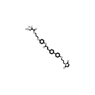 C=C(CO)C(=O)OCCCOc1ccc(OC(=O)/C=C/c2ccc(-c3ccc(OCCCN4C(=O)C=CC4=O)cc3)cc2)cc1